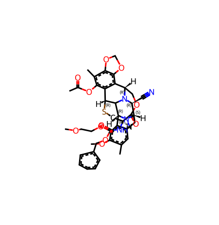 COCCOc1c(OC)c(C)cc2c1[C@@H]1C3[C@@H]4SC[C@H](NC(=O)OCc5ccccc5)C(=O)OC[C@@H](c5c6c(c(C)c(OC(C)=O)c54)OCO6)N3[C@@H](C#N)[C@H](C2)N1C